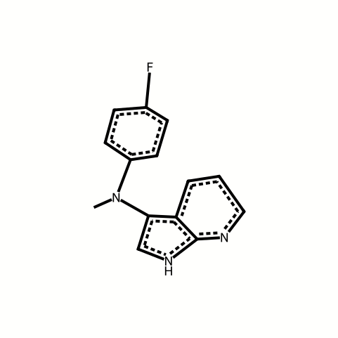 CN(c1ccc(F)cc1)c1c[nH]c2ncccc12